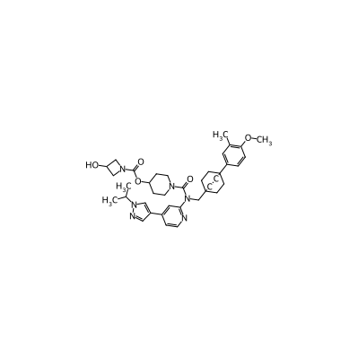 COc1ccc(C23CCC(CN(C(=O)N4CCC(OC(=O)N5CC(O)C5)CC4)c4cc(-c5cnn(C(C)C)c5)ccn4)(CC2)CC3)cc1C